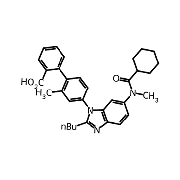 CCCCc1nc2ccc(N(C)C(=O)C3CCCCC3)cc2n1-c1ccc(-c2ccccc2C(=O)O)c(C)c1